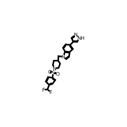 O=S(=O)(c1ccc(C(F)F)cc1)N1CCC(Cn2ccc3cc(-c4cn[nH]c4)ccc32)CC1